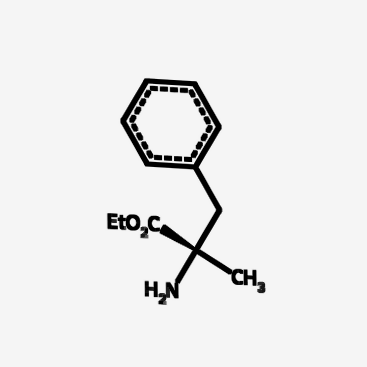 CCOC(=O)[C@@](C)(N)Cc1ccccc1